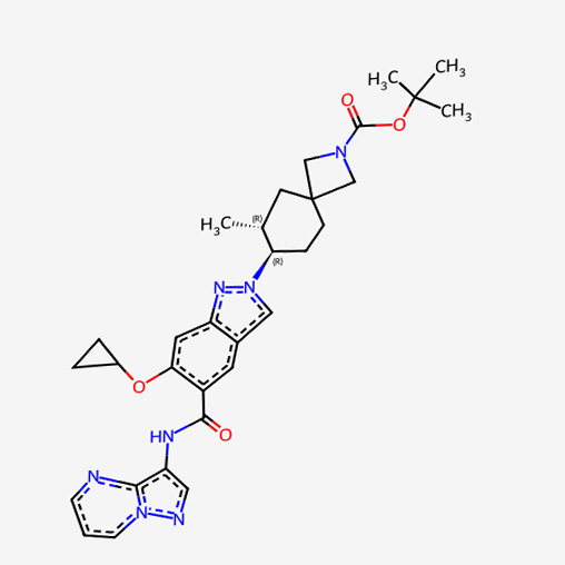 C[C@@H]1CC2(CC[C@H]1n1cc3cc(C(=O)Nc4cnn5cccnc45)c(OC4CC4)cc3n1)CN(C(=O)OC(C)(C)C)C2